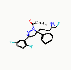 CC(=O)N1N=C(c2cc(F)ccc2F)C[C@@]1(CCC(N)CF)c1ccccc1